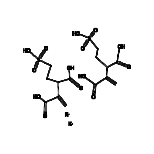 C=C(C(=O)O)C(CCS(=O)(=O)O)C(=O)O.C=C(C(=O)O)C(CCS(=O)(=O)O)C(=O)O.[K].[K]